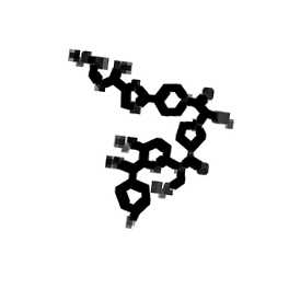 CCN(C(=O)[C@@H]1CCN(C(C)C(=O)N2CC=C(c3ncc(C(=N)/N=C\NC)s3)CC2)C1)c1ccc(N)c(C(=N)c2ccc(F)cc2)n1